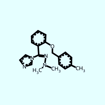 Cc1ccc(COc2ccccc2/C(=N/N(C)C)n2ccnc2)cc1